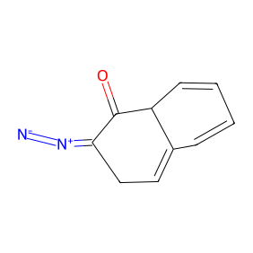 [N-]=[N+]=C1CC=C2C=CC=CC2C1=O